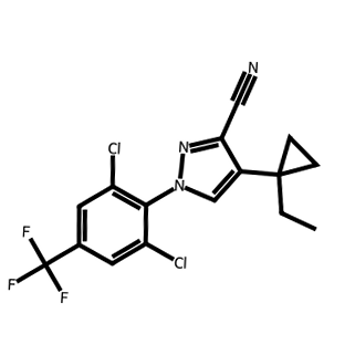 CCC1(c2cn(-c3c(Cl)cc(C(F)(F)F)cc3Cl)nc2C#N)CC1